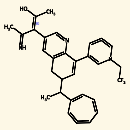 CC(=N)/C(=C(/C)O)c1cnc2c(c1)CC(C(C)C1=CC=CC=C=C1)C=C2C1=CN(CC(F)(F)F)C=C=C1